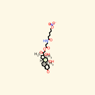 C[C@H]1C[C@H]2[C@@H]3CCC4=CC(=O)C=C[C@]4(C)[C@@]3(F)[C@@H](O)C[C@]2(C)[C@@]1(O)C(=O)COC(=O)CCNC(=O)CCCCCO[N+](=O)[O-]